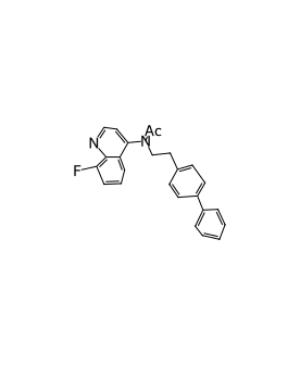 CC(=O)N(CCc1ccc(-c2ccccc2)cc1)c1ccnc2c(F)cccc12